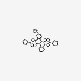 CCc1ccc2c(c1)=C(OC(=O)c1ccccc1)C(=O)C1=c3ccccc3=C(OC(=O)c3ccccc3)C(=O)C=21